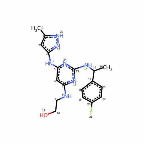 Cc1cc(Nc2cc(NCCO)nc(NC(C)c3ccc(F)cc3)n2)n[nH]1